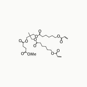 C=CC(=O)OCCCCCC(=O)OCC(C)(COC(=O)CCCCCOC(=O)C=C)COC(=O)CCC(=O)OC